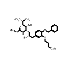 COCCCOc1cc(C[C@@H](C[C@H](NC(=O)OC(C)(C)C)[C@@H](O)C[C@@H](C)C(=O)O)C(C)C)ccc1OCc1ccccc1